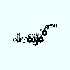 COc1cc(-c2nccc(-c3cccc(Nc4cccc(CN5CC(CO)C5)c4F)c3Cl)c2Cl)ccc1CNC[C@H]1CCC(=O)N1